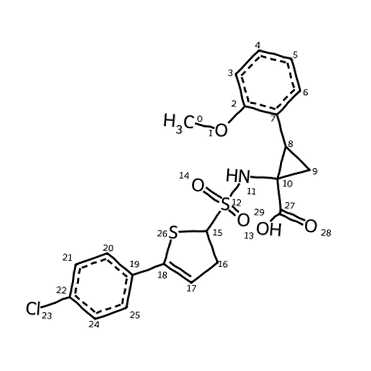 COc1ccccc1C1CC1(NS(=O)(=O)C1CC=C(c2ccc(Cl)cc2)S1)C(=O)O